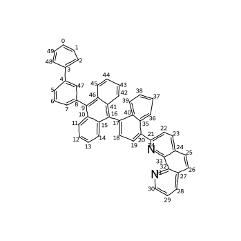 c1ccc(-c2cccc(-c3c4ccccc4c(-c4ccc(-c5ccc6ccc7cccnc7c6n5)c5ccccc45)c4ccccc34)c2)cc1